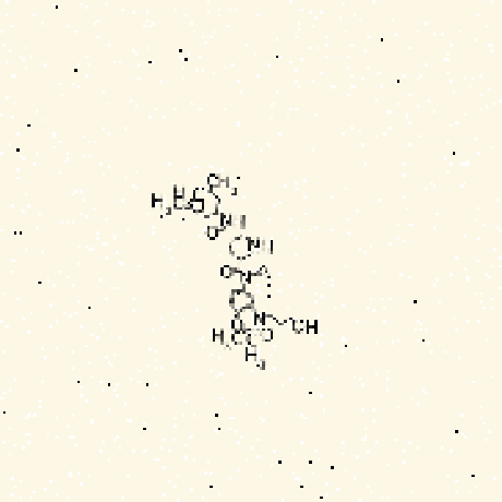 CCOCC(CC(C)C)NC(=O)[C@@H]1CNC[C@H](C(=O)N(c2ccc3c(c2)N(CCCO)C(=O)C(C)(C)O3)C2CC2)C1